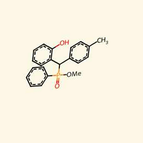 COP(=O)(c1ccccc1)C(c1ccc(C)cc1)c1ccccc1O